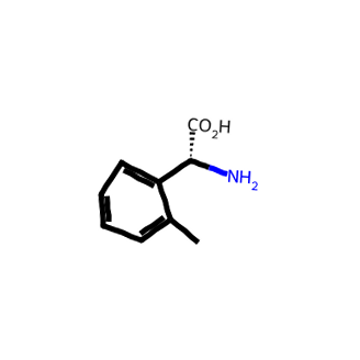 Cc1ccccc1[C@@H](N)C(=O)O